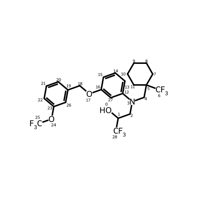 OC(CN(CC1(C(F)(F)F)CCCCC1)c1cccc(OCc2cccc(OC(F)(F)F)c2)c1)C(F)(F)F